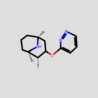 F[C@H]1C(Oc2cccnn2)C[C@@H]2CCC[C@H]1N2